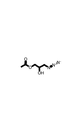 CC(=O)OCC(O)CN=[N+]=[N-]